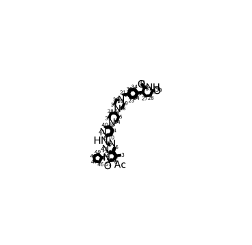 CC(=O)c1c(C)c2cnc(Nc3ccc(N4CCC(N5CCN(Cc6ccc(C7CCC(=O)NC7=O)cc6)CC5)CC4)cn3)nc2n(C2CCCC2)c1=O